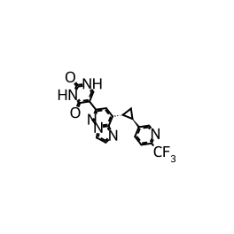 O=c1[nH]cc(-c2cc([C@@H]3C[C@H]3c3ccc(C(F)(F)F)nc3)c3nccn3n2)c(=O)[nH]1